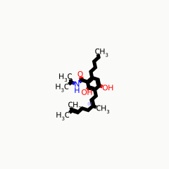 CCCCCc1cc(O)c(C/C=C(\C)CCC=C(C)C)c(O)c1C(=O)NC(C)C